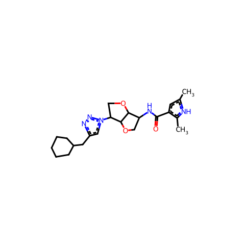 Cc1cc(C(=O)NC2COC3C2OCC3n2cc(CC3CCCCC3)nn2)c(C)[nH]1